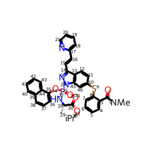 CNC(=O)c1ccccc1Sc1ccc2c(/C=C/c3ccccn3)nn(P(=O)(N[C@@H](C)C(=O)OC(C)C)Oc3cccc4ccccc34)c2c1